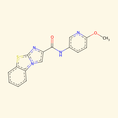 COc1ccc(NC(=O)c2cn3c(n2)sc2ccccc23)cn1